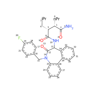 CCC[C@H](C(N)=O)[C@@H](CC(C)C)C(=O)NC1C(=O)N(Cc2ccc(F)cc2)c2ccccc2-c2ccccc21